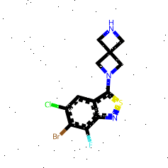 Fc1c(Br)c(Cl)cc2c(N3CC4(CNC4)C3)snc12